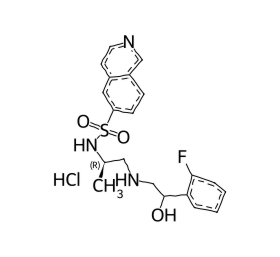 C[C@H](CNCC(O)c1ccccc1F)NS(=O)(=O)c1ccc2cnccc2c1.Cl